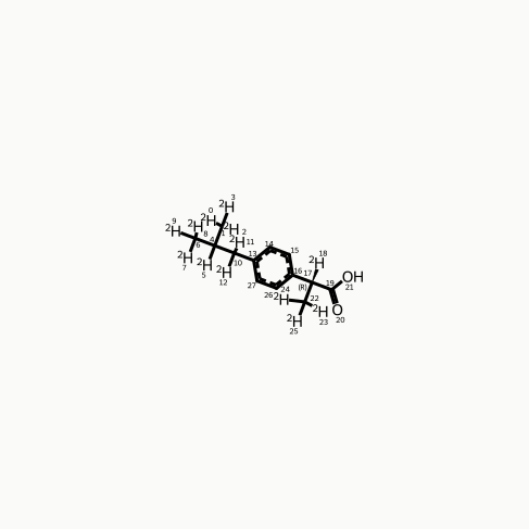 [2H]C([2H])([2H])C([2H])(C([2H])([2H])[2H])C([2H])([2H])c1ccc([C@]([2H])(C(=O)O)C([2H])([2H])[2H])cc1